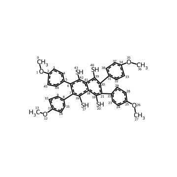 COc1ccc(-c2c(-c3ccc(OC)cc3)c(S)c3c(S)c(-c4ccc(OC)cc4)c(-c4ccc(OC)cc4)c(S)c3c2S)cc1